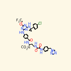 O=C(NCCC(NC(=O)c1ccc(Nc2nc(NC3(c4ccc(Cl)cc4)CC3)nc(OCC(F)(F)F)n2)cc1)C(=O)O)C(=O)Nc1ccc(Cn2cncn2)cc1